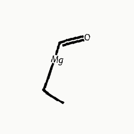 C[CH2][Mg][CH]=O